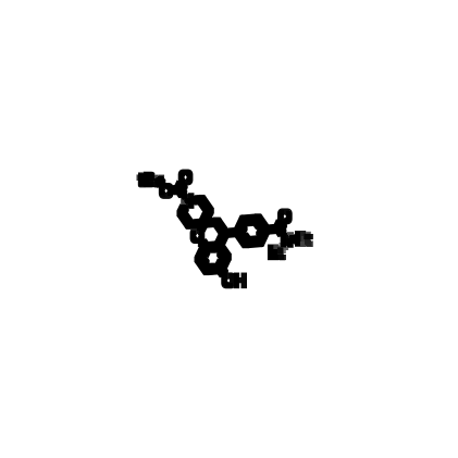 CCN(CC)C(=O)c1ccc(C2CC3(CCN(C(=O)OC(C)(C)C)CC3)Oc3ccc(O)cc32)cc1